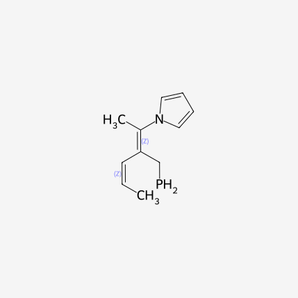 C/C=C\C(CP)=C(/C)n1cccc1